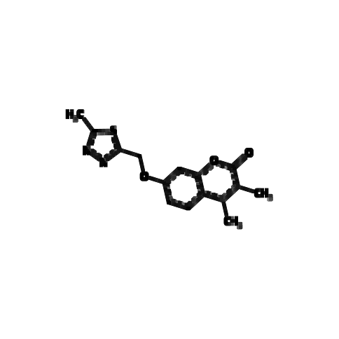 Cc1nnc(COc2ccc3c(C)c(C)c(=O)oc3c2)s1